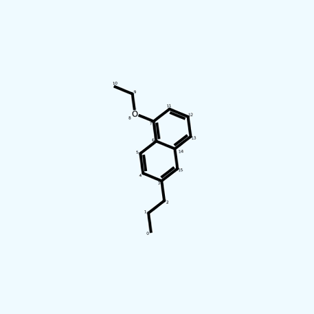 CCCc1ccc2c(OCC)cccc2c1